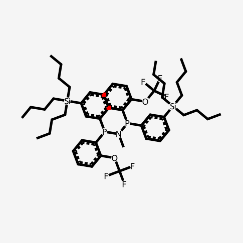 CCCC[Si](CCCC)(CCCC)c1cccc(P(c2ccccc2OC(F)(F)F)N(C)P(c2cccc([Si](CCCC)(CCCC)CCCC)c2)c2ccccc2OC(F)(F)F)c1